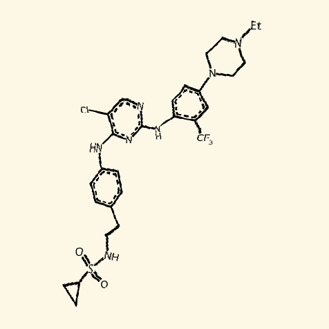 CCN1CCN(c2ccc(Nc3ncc(Cl)c(Nc4ccc(CCNS(=O)(=O)C5CC5)cc4)n3)c(C(F)(F)F)c2)CC1